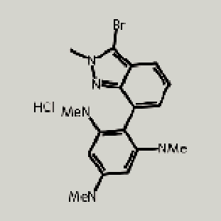 CNc1cc(NC)c(-c2cccc3c(Br)n(C)nc23)c(NC)c1.Cl